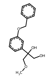 COCC(O)(CO)c1cccc(OCc2ccccc2)c1